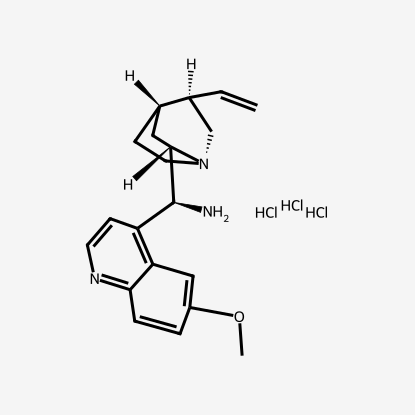 C=C[C@H]1C[N@]2CC[C@H]1C[C@H]2[C@@H](N)c1ccnc2ccc(OC)cc12.Cl.Cl.Cl